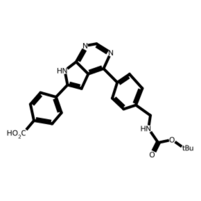 CC(C)(C)OC(=O)NCc1ccc(-c2ncnc3[nH]c(-c4ccc(C(=O)O)cc4)cc23)cc1